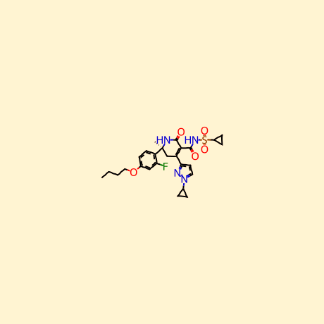 CCCCOc1ccc([C@]2(C)CC(c3ccn(C4CC4)n3)=C(C(=O)NS(=O)(=O)C3CC3)C(=O)N2)c(F)c1